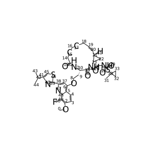 COc1ccc2c(OCC[C@@H]3NC(=O)CCCCC/C=C\[C@@H]4C[C@@]4(C(=O)NS(=O)(=O)C4(C)CC4)NC3=O)cc(-c3nc(C(C)C)cs3)nc2c1F